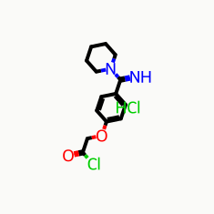 Cl.N=C(c1ccc(OCC(=O)Cl)cc1)N1CCCCC1